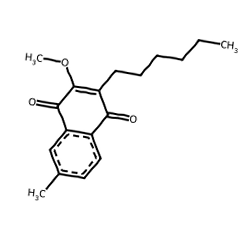 CCCCCCC1=C(OC)C(=O)c2cc(C)ccc2C1=O